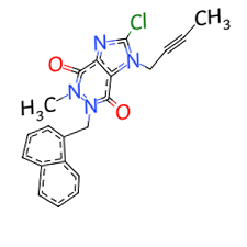 CC#CCn1c(Cl)nc2c(=O)n(C)n(Cc3cccc4ccccc34)c(=O)c21